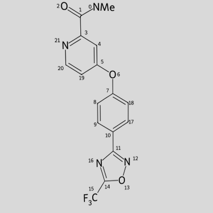 CNC(=O)c1cc(Oc2ccc(-c3noc(C(F)(F)F)n3)cc2)ccn1